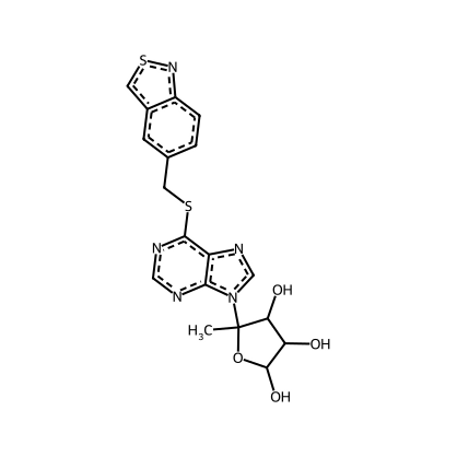 CC1(n2cnc3c(SCc4ccc5nscc5c4)ncnc32)OC(O)C(O)C1O